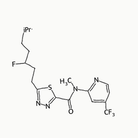 C[C](C)CCC(F)CCc1nnc(C(=O)N(C)c2cc(C(F)(F)F)ccn2)s1